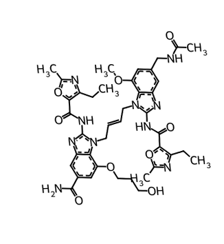 CCc1nc(C)oc1C(=O)Nc1nc2cc(CNC(C)=O)cc(OC)c2n1C/C=C/Cn1c(NC(=O)c2oc(C)nc2CC)nc2cc(C(N)=O)cc(OCCCO)c21